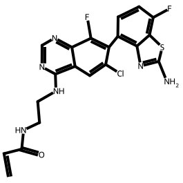 C=CC(=O)NCCNc1ncnc2c(F)c(-c3ccc(F)c4sc(N)nc34)c(Cl)cc12